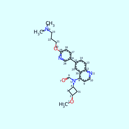 CO[C@H]1C[C@@H](N(C=O)c2ccnc3ccc(-c4ccc(OCCCN(C)C)nc4)cc23)C1